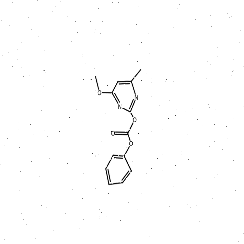 COc1cc(C)nc(OC(=O)Oc2ccccc2)n1